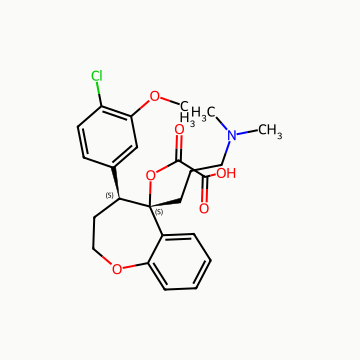 COc1cc([C@@H]2CCOc3ccccc3[C@@]2(CCCN(C)C)OC(=O)C(=O)O)ccc1Cl